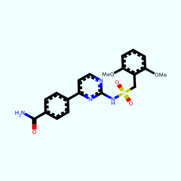 COc1cccc(OC)c1CS(=O)(=O)Nc1nccc(-c2ccc(C(N)=O)cc2)n1